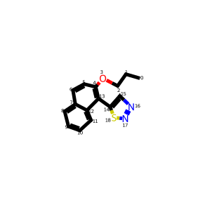 CCCOc1ccc2ccccc2c1-c1[c]nns1